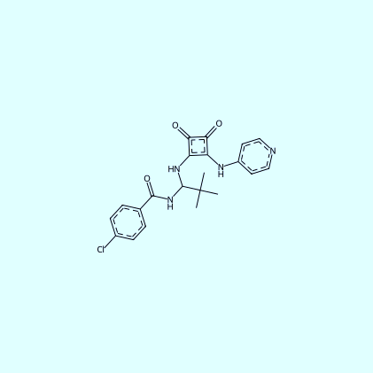 CC(C)(C)C(NC(=O)c1ccc(Cl)cc1)Nc1c(Nc2ccncc2)c(=O)c1=O